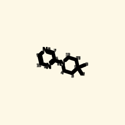 CC1(C)CCN(c2cnccn2)CC1